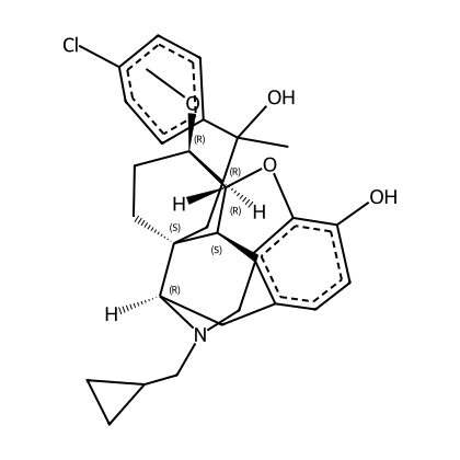 CO[C@]12CC[C@@]3(C[C@@H]1C(C)(O)c1ccc(Cl)cc1)[C@H]1Cc4ccc(O)c5c4[C@@]3(CCN1CC1CC1)[C@H]2O5